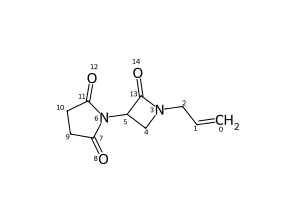 C=CCN1CC(N2C(=O)CCC2=O)C1=O